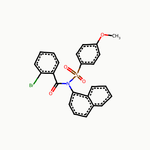 COc1ccc(S(=O)(=O)N(C(=O)c2ccccc2Br)c2cccc3ccccc23)cc1